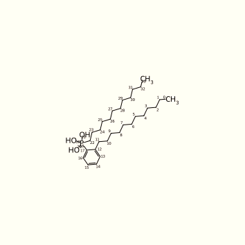 CCCCCCCCCCCCc1ccccc1P(O)(O)(O)CCCCCCCCCCCC